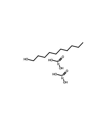 CCCCCCCCCCO.O=[PH](O)O.O=[PH](O)O